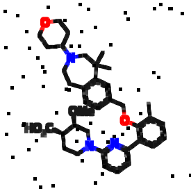 CO[C@H]1CN(c2cccc(-c3cccc(C)c3OCc3ccc4c(c3)C(C)(C)CN(C3CCOCC3)CC4)n2)CC[C@H]1C(=O)O